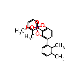 Cc1cccc(-c2ccc3c(-c4cccc(C)c4C)c2OP(=O)(O)O3)c1C